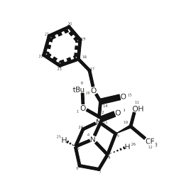 CC(C)(C)OC(=O)N1[C@H]2CC[C@@H]1[C@H](C(O)C(F)(F)F)N(C(=O)OCc1ccccc1)C2